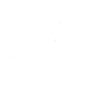 On1cc(C2CCNCC2)c(Cc2ccc(F)c(Cl)c2)n1